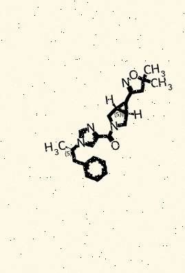 C[C@@H](Cc1ccccc1)n1cnc(C(=O)N2C[C@@H]3C(C4=NOC(C)(C)C4)[C@@H]3C2)c1